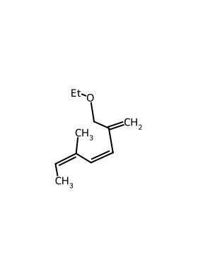 C=C(/C=C\C(C)=C/C)COCC